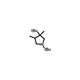 CC1CN(C(C)(C)C)CC1(C)C(C)(C)C